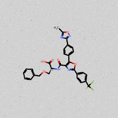 Cc1nc(-c2ccc(-c3oc(-c4ccc(C(F)(F)F)cc4)nc3C(=O)N[C@@H](COCc3ccccc3)C(=O)O)cc2)no1